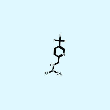 CN(C)NCc1ccc(C(F)(F)F)cn1